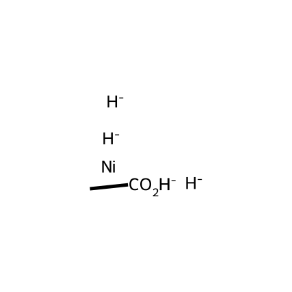 CC(=O)O.[H-].[H-].[H-].[H-].[Ni]